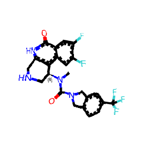 CN(C(=O)N1Cc2ccc(C(F)(F)F)cc2C1)[C@H]1CNCc2[nH]c(=O)c3cc(F)c(F)cc3c21